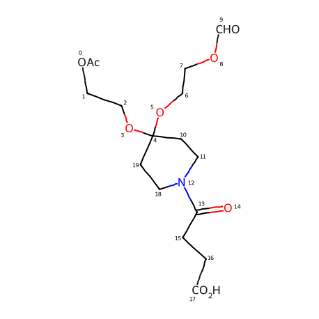 CC(=O)OCCOC1(OCCOC=O)CCN(C(=O)CCC(=O)O)CC1